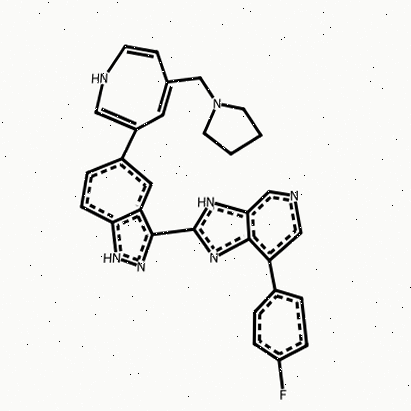 Fc1ccc(-c2cncc3[nH]c(-c4n[nH]c5ccc(C6=CNC=CC(CN7CCCC7)=C6)cc45)nc23)cc1